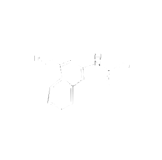 CC(C)(C)C(=O)Nc1cc(C(=O)O)c2ccccc2c1